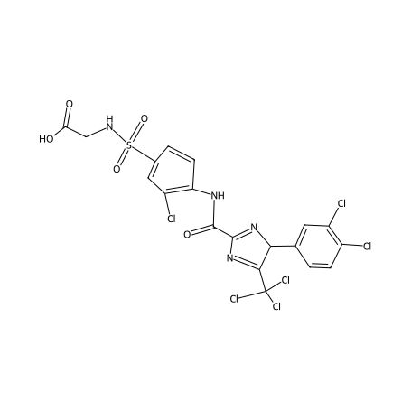 O=C(O)CNS(=O)(=O)c1ccc(NC(=O)C2=NC(c3ccc(Cl)c(Cl)c3)C(C(Cl)(Cl)Cl)=N2)c(Cl)c1